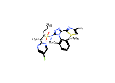 COCC[C@@H]([C@H](C)c1ncc(F)cn1)S(=O)(=O)Nc1nnc(-c2nc(C)cs2)n1-c1c(OC)cccc1OC